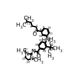 CC(C)CCCC(=O)c1cccc(Nc2ccc(C(=O)N=C3N(C)CCN3C)cc2C(C)(C)C)c1